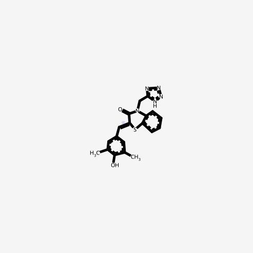 Cc1cc(/C=C2\Sc3ccccc3N(Cc3nnn[nH]3)C2=O)cc(C)c1O